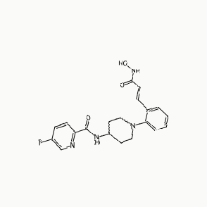 O=C(C=Cc1ccccc1N1CCC(NC(=O)c2ccc(F)cn2)CC1)NO